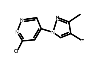 Cc1nn(-c2cnnc(Cl)c2)cc1F